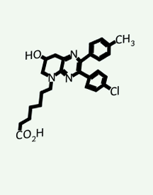 Cc1ccc(-c2nc3c(nc2-c2ccc(Cl)cc2)N(CCCCCCC(=O)O)CC(O)C3)cc1